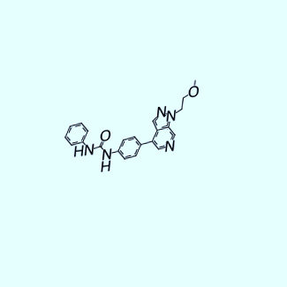 COCCn1ncc2c(-c3ccc(NC(=O)Nc4ccccc4)cc3)cncc21